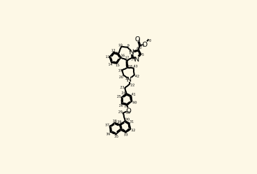 COC(=O)c1cnc2n1CCc1ccccc1C2=C1CCN(CCc2ccc(OCc3cccc4ccccc34)cc2)CC1